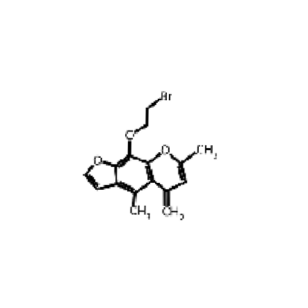 C=C1C=C(C)Oc2c1c(C)c1ccoc1c2OCCBr